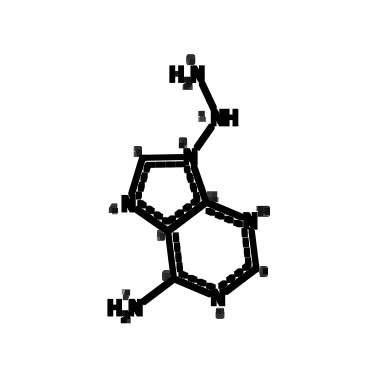 NNn1cnc2c(N)ncnc21